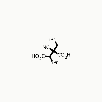 CC(C)CC(C#N)(C(=O)O)C(C(=O)O)C(C)C